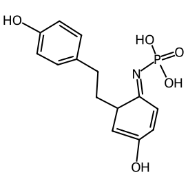 O=P(O)(O)N=C1C=CC(O)=CC1CCc1ccc(O)cc1